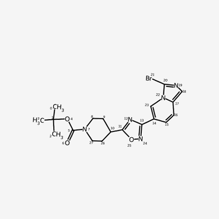 CC(C)(C)OC(=O)N1CCC(c2nc(-c3ccc4cnc(Br)n4c3)no2)CC1